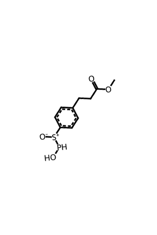 COC(=O)CCc1ccc([S+]([O-])PO)cc1